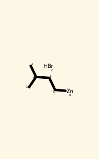 Br.CC(C)C[CH2][Zn]